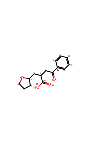 O=C(CC(CC1CCCO1)C(=O)O)c1ccccc1